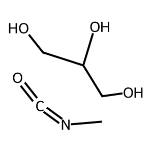 CN=C=O.OCC(O)CO